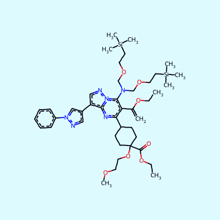 C=C(OCC)c1c(C2CCC(OCCOC)(C(=O)OCC)CC2)nc2c(-c3cnn(-c4ccccc4)c3)cnn2c1N(COCC[Si](C)(C)C)COCC[Si](C)(C)C